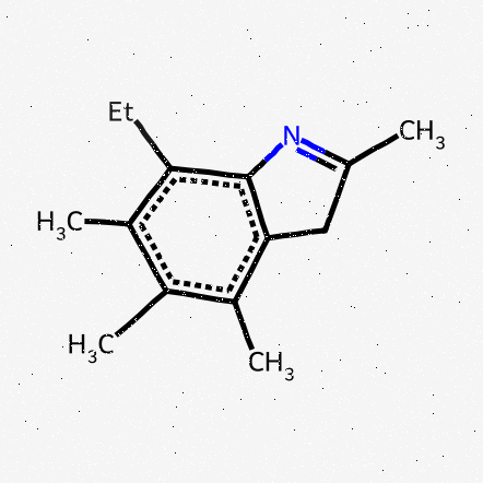 CCc1c(C)c(C)c(C)c2c1N=C(C)C2